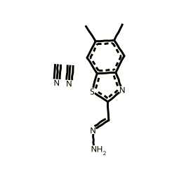 C#N.C#N.Cc1cc2nc(C=NN)sc2cc1C